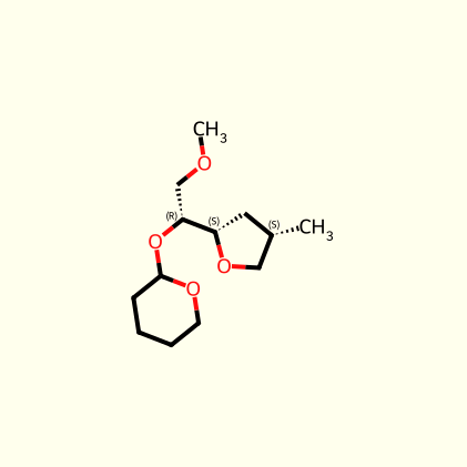 COC[C@@H](OC1CCCCO1)[C@@H]1C[C@H](C)CO1